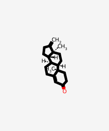 C=C1CC[C@H]2[C@@H]3CCC4=CC(=O)CC[C@]4(C)[C@@H]3CC[C@]12C